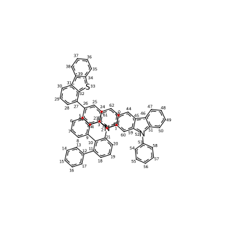 c1ccc(-c2ccccc2-c2c(-c3ccccc3)cccc2N(c2ccc(-c3cccc4c3sc3ccccc34)cc2)c2ccc3c4ccccc4n(-c4ccccc4)c3c2)cc1